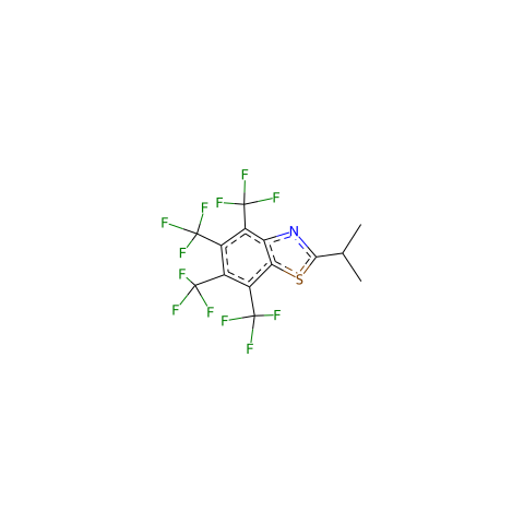 CC(C)c1nc2c(C(F)(F)F)c(C(F)(F)F)c(C(F)(F)F)c(C(F)(F)F)c2s1